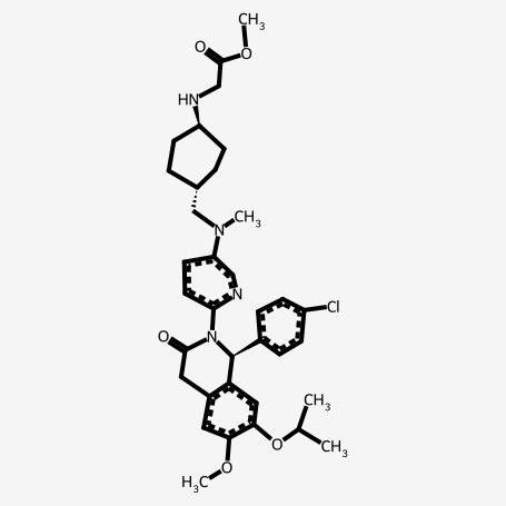 COC(=O)CN[C@H]1CC[C@H](CN(C)c2ccc(N3C(=O)Cc4cc(OC)c(OC(C)C)cc4[C@@H]3c3ccc(Cl)cc3)nc2)CC1